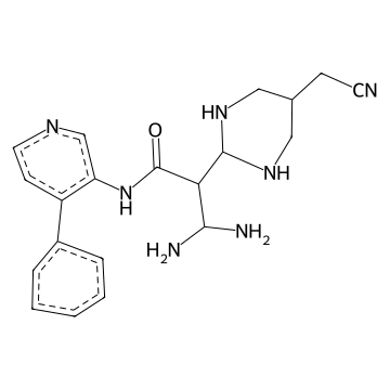 N#CCC1CNC(C(C(=O)Nc2cnccc2-c2ccccc2)C(N)N)NC1